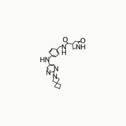 O=C1CC(C(=O)NCc2ccc(Nc3cnc(N4CC5(CCC5)C4)nc3)cc2)CN1